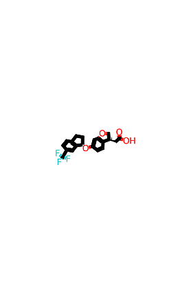 O=C(O)C[C@@H]1COc2cc(OC3CCc4ccc(C(F)(F)F)cc43)ccc21